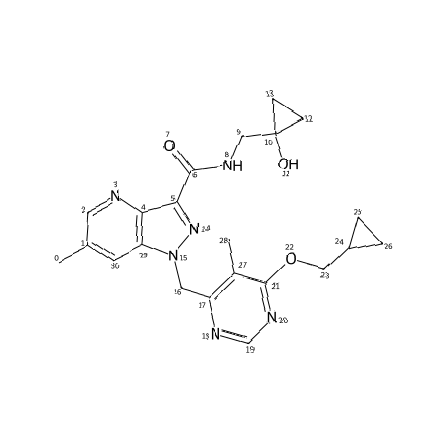 Cc1cnc2c(C(=O)NCC3(O)CC3)nn(Cc3ncnc(OCC4CC4)c3C)c2c1